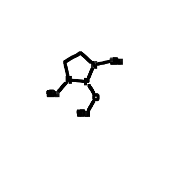 CC(C)(C)OP1N(C(C)(C)C)CCN1C(C)(C)C